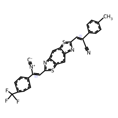 [C-]#[N+]/C(=C\c1nc2cc3sc(/C=C(\C#N)c4ccc(C)cc4)nc3cc2s1)c1ccc(C(F)(F)F)cc1